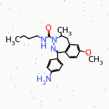 CCCCNC(=O)N1N=C(c2ccc(N)cc2)c2ccc(OC)cc2CC1C